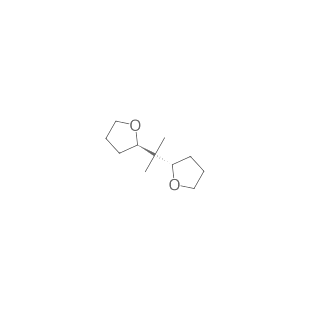 CC(C)([C@@H]1CCCO1)[C@H]1CCCO1